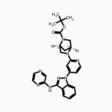 CC(C)(C)OC(=O)N1C[C@@H]2C[C@H]1CN2c1cc(-n2nc(Nc3cnccn3)c3ccccc32)ccn1